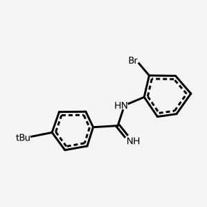 CC(C)(C)c1ccc(C(=N)Nc2ccccc2Br)cc1